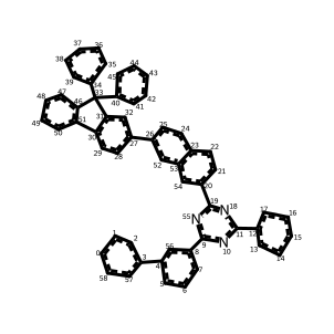 c1ccc(-c2cccc(-c3nc(-c4ccccc4)nc(-c4ccc5ccc(-c6ccc7c(c6)C(c6ccccc6)(c6ccccc6)c6ccccc6-7)cc5c4)n3)c2)cc1